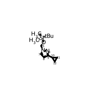 CC(C)(C)[Si](C)(C)OCn1ccc(C2CC2)n1